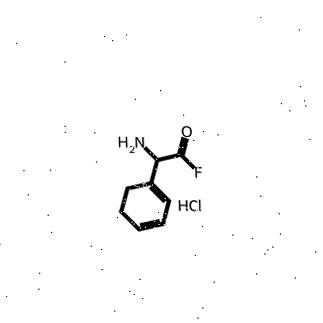 Cl.NC(C(=O)F)C1=CC=CCC1